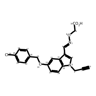 C#CCn1cc(C=NOCC(=O)O)c2cc(OCc3ccc(Cl)cc3)ccc21